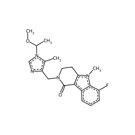 COC(C)n1cnc(CN2CCc3c(c4cccc(F)c4n3C)C2=O)c1C